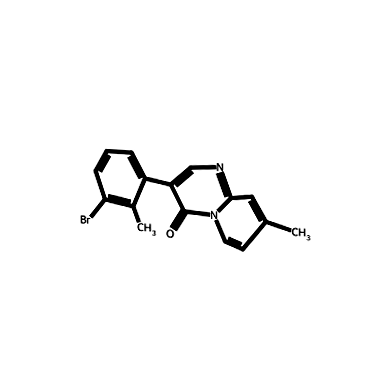 Cc1ccn2c(=O)c(-c3cccc(Br)c3C)cnc2c1